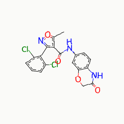 Cc1onc(-c2c(Cl)cccc2Cl)c1C(=O)Nc1ccc2c(c1)OCC(=O)N2